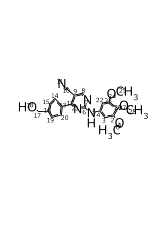 COc1cc(Nc2ncc(C#N)c(-c3ccc(CO)cc3)n2)cc(OC)c1OC